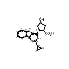 O=C(O)[C@@H]1C[C@H](O)CN1c1nc(C2CC2)nc2c1oc1ccccc12